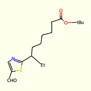 CCC(CCCCCC(=O)OC(C)(C)C)c1ncc(C=O)s1